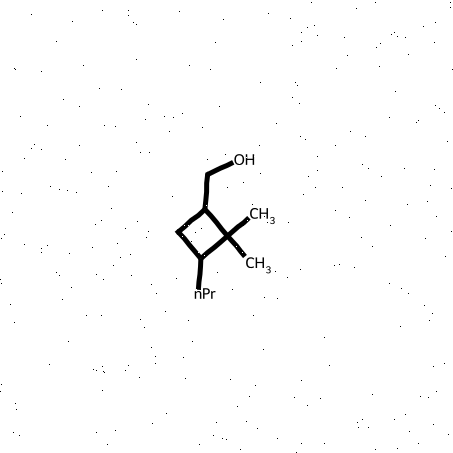 CCCC1CC(CO)C1(C)C